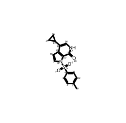 Cc1ccc(S(=O)(=O)n2ccc3c(C4CC4)c[nH]c(=O)c32)cc1